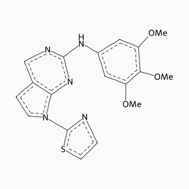 COc1cc(Nc2ncc3ccn(-c4nccs4)c3n2)cc(OC)c1OC